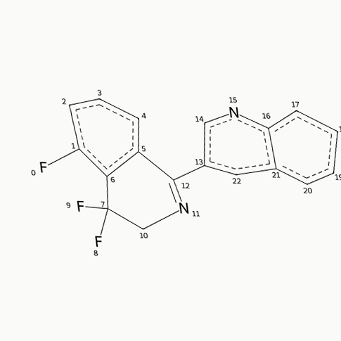 Fc1cccc2c1C(F)(F)CN=C2c1cnc2ccccc2c1